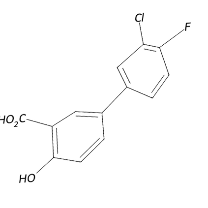 O=C(O)c1cc(-c2ccc(F)c(Cl)c2)ccc1O